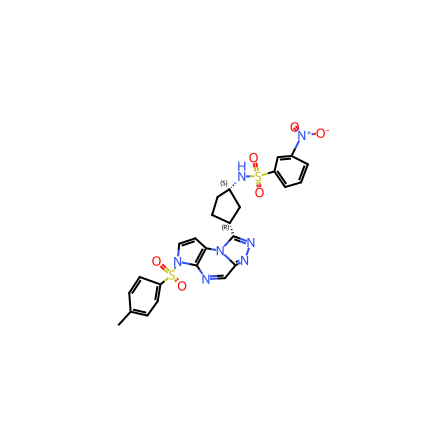 Cc1ccc(S(=O)(=O)n2ccc3c2ncc2nnc([C@@H]4CC[C@H](NS(=O)(=O)c5cccc([N+](=O)[O-])c5)C4)n23)cc1